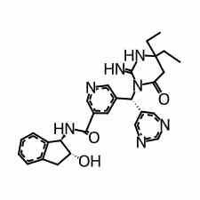 CCC1(CC)CC(=O)N([C@H](c2cncnc2)c2cncc(C(=O)N[C@@H]3c4ccccc4C[C@H]3O)c2)C(=N)N1